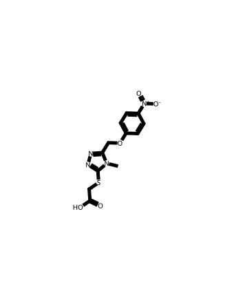 Cn1c(COc2ccc([N+](=O)[O-])cc2)nnc1SCC(=O)O